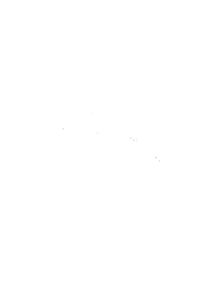 CCOC(=O)C1(NC(=O)CN2CCOCC2)Cc2ccc(-c3ccc(Cl)cc3)cc2C1